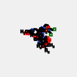 CC[C@]1(O)C[C@H]2C[N@](CCc3c([nH]c4ccccc34)[C@@](C(=O)OC)(c3cc4c(cc3OC)N(C=O)[C@H]3[C@@](O)(C(=O)OC)[C@H](OC(C)=O)[C@]5(CC)C=CCN6CC[C@]43[C@@H]65)C2)C1.O=P1(N(CCCl)CCCl)NCCCO1